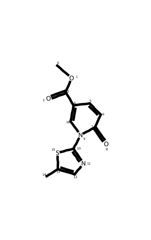 COC(=O)c1ccc(=O)n(-c2ncc(C)s2)c1